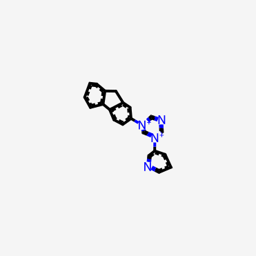 c1cncc(-[n+]2cnc[n+](-c3ccc4c(c3)Cc3ccccc3-4)c2)c1